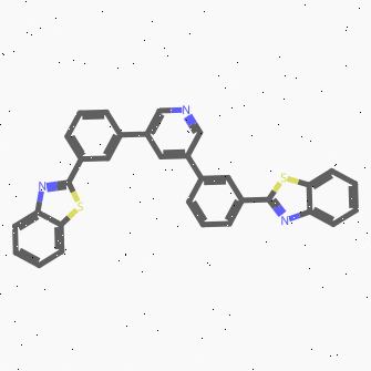 c1cc(-c2cncc(-c3cccc(-c4nc5ccccc5s4)c3)c2)cc(-c2nc3ccccc3s2)c1